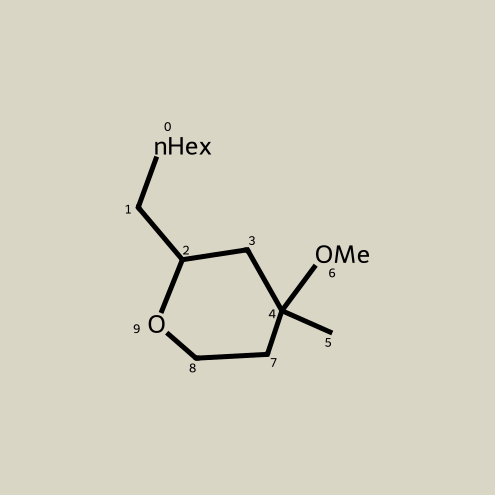 CCCCCCCC1CC(C)(OC)CCO1